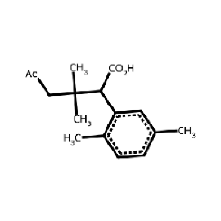 CC(=O)CC(C)(C)C(C(=O)O)c1cc(C)ccc1C